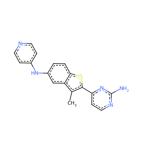 Cc1c(-c2ccnc(N)n2)sc2ccc(Nc3ccncc3)cc12